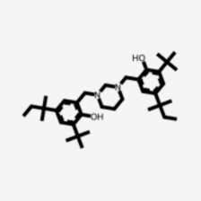 CCC(C)(C)c1cc(CN2CCCN(Cc3cc(C(C)(C)CC)cc(C(C)(C)C)c3O)C2)c(O)c(C(C)(C)C)c1